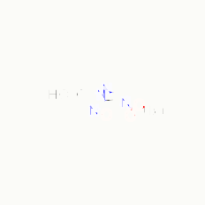 CN1CC(C(=O)O)Cn2nc3c(c2C1=O)CN(C(=O)OC(C)(C)C)CC3